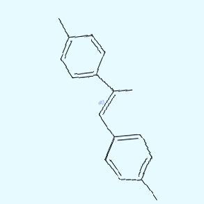 C/C(=C\c1ccc(C)cc1)c1ccc(C)cc1